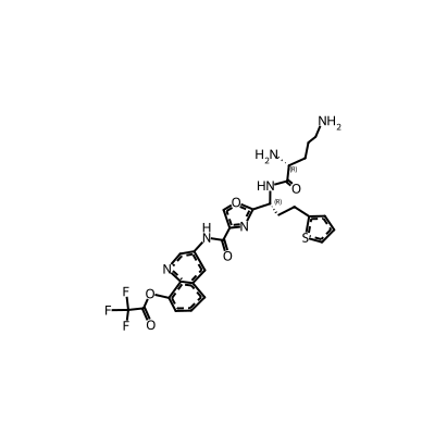 NCCC[C@@H](N)C(=O)N[C@H](CCc1cccs1)c1nc(C(=O)Nc2cnc3c(OC(=O)C(F)(F)F)cccc3c2)co1